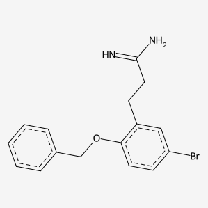 N=C(N)CCc1cc(Br)ccc1OCc1ccccc1